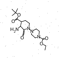 CCOC(=O)N1CCN(N2CCC(C(=O)OC(C)(C)C)C(N)C2=C=O)CC1